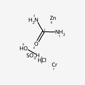 Cl.NC(N)=O.O=S(=O)(O)O.[Cr].[Zn]